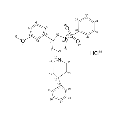 COc1cccc(C(CCN2CCC(c3ccccc3)CC2)CN(C)S(=O)(=O)c2ccccc2)c1.Cl